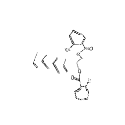 C=CC.C=CC.C=CC.C=CC.CCc1ccccc1C(=O)OCCOC(=O)c1ccccc1CC